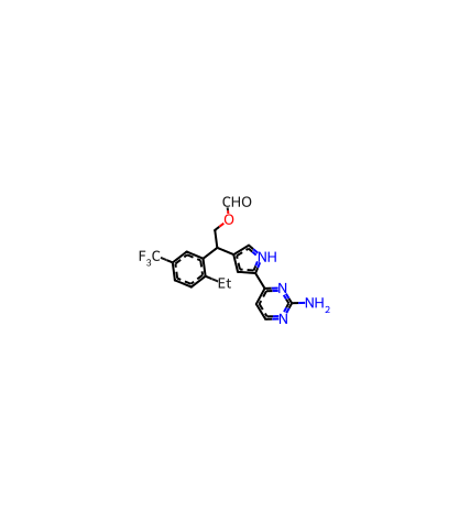 CCc1ccc(C(F)(F)F)cc1C(COC=O)c1c[nH]c(-c2ccnc(N)n2)c1